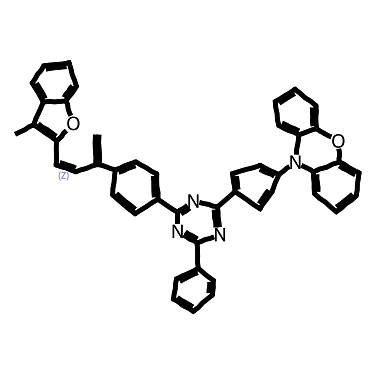 C=C(/C=C\c1oc2ccccc2c1C)c1ccc(-c2nc(-c3ccccc3)nc(-c3ccc(N4c5ccccc5Oc5ccccc54)cc3)n2)cc1